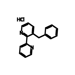 Cl.c1ccc(Cc2cccnc2-c2ccccn2)cc1